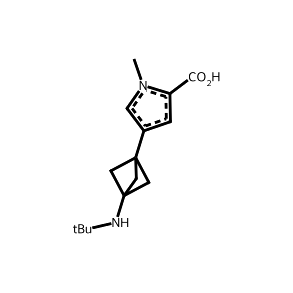 Cn1cc(C23CC(NC(C)(C)C)(C2)C3)cc1C(=O)O